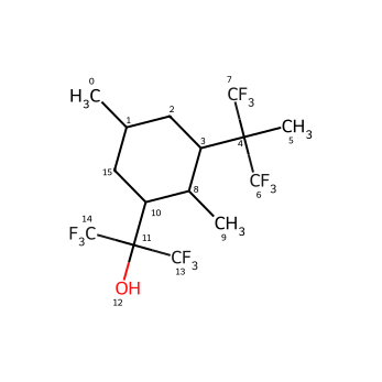 CC1CC(C(C)(C(F)(F)F)C(F)(F)F)C(C)C(C(O)(C(F)(F)F)C(F)(F)F)C1